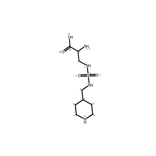 NC(CNS(=O)(=O)NCC1CCNCC1)C(=O)O